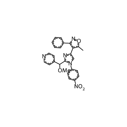 COC(c1ccncc1)c1nc(-c2c(-c3ccccc3)noc2C)cn1-c1ccc([N+](=O)[O-])cc1